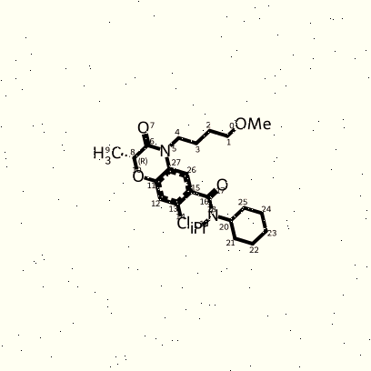 COCCCCN1C(=O)[C@@H](C)Oc2cc(Cl)c(C(=O)N(C(C)C)C3CCCCC3)cc21